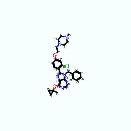 CN1CCN(CCOc2ccc(-c3nc4c(OC5(C)CC5)ncnc4n3Cc3ccccc3)c(Cl)c2)CC1